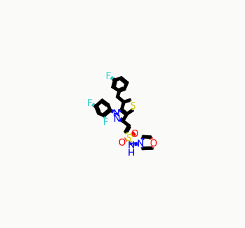 O=S(=O)(C=Cc1nn(-c2ccc(F)cc2F)c2c1CSCC2Cc1cccc(F)c1)NN1CCOCC1